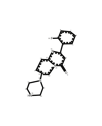 O=c1cc(-c2ccccc2F)nc2ccc(N3CCNCC3)cn12